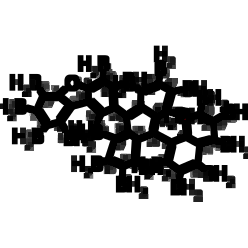 Bc1c(B)c(B)c2c(oc3c(B)c(B)c(-c4c5c(B)c(B)c(B)c(B)c5c(-c5c(B)c(B)c(B)c6c(B)c(B)c(B)c(B)c56)c5c(B)c(B)c(B)c(B)c45)c(B)c32)c1B